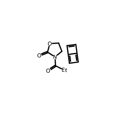 CCC(=O)N1CCOC1=O.c1cc2ccc1-2